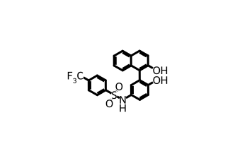 O=S(=O)(Nc1ccc(O)c(-c2c(O)ccc3ccccc23)c1)c1ccc(C(F)(F)F)cc1